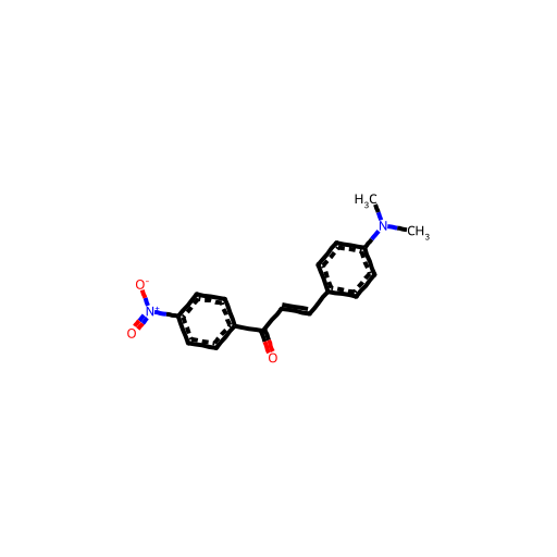 CN(C)c1ccc(C=CC(=O)c2ccc([N+](=O)[O-])cc2)cc1